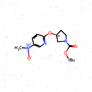 C[NH+]([O-])c1ccc(O[C@H]2CCN(C(=O)OC(C)(C)C)C2)nc1